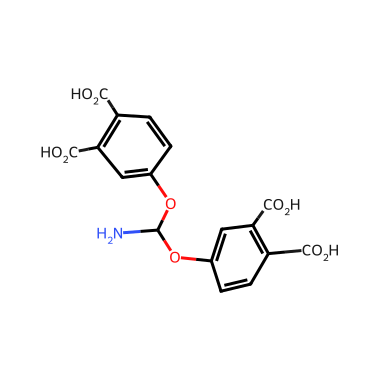 NC(Oc1ccc(C(=O)O)c(C(=O)O)c1)Oc1ccc(C(=O)O)c(C(=O)O)c1